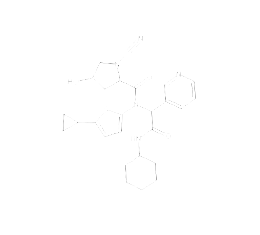 N#CN1CC(O)CC1C(=O)N(c1ccc(C2CC2)s1)C(C(=O)NC1CCCCC1)c1cccnc1